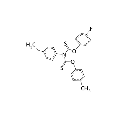 CCc1ccc(N(C(=S)Oc2ccc(C)cc2)C(=S)Oc2ccc(F)cc2)cc1